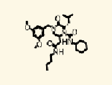 CCCCNC(=O)CC1CN(Cc2cc(OC)cc(OC)c2)C(=O)[C@H](CC(C)C)N1C(=O)NC1CCCCC1